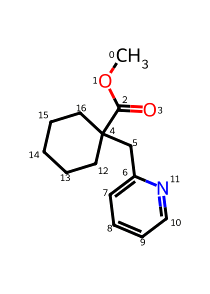 COC(=O)C1(Cc2ccccn2)CCCCC1